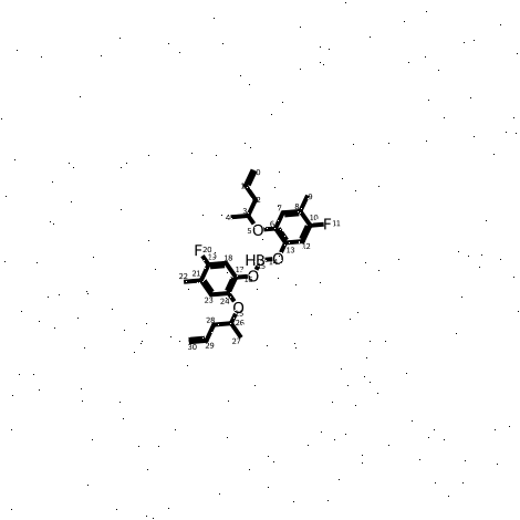 C=CCC(C)Oc1cc(C)c(F)cc1OBOc1cc(F)c(C)cc1OC(C)CC=C